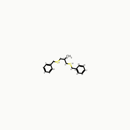 CC(CSCc1ccccc1)CSCc1ccccc1